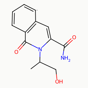 CC(CO)n1c(C(N)=O)cc2[c]cccc2c1=O